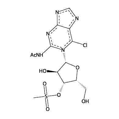 CC(=O)Nc1nc2ncnc-2c(Cl)n1[C@@H]1O[C@H](CO)[C@H](OS(C)(=O)=O)[C@H]1O